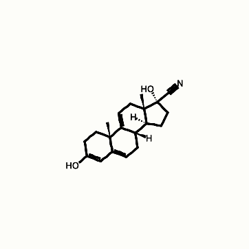 C[C@]12CCC(O)=CC1=CC[C@@H]1C2=CC[C@@]2(C)[C@H]1CC[C@]2(O)C#N